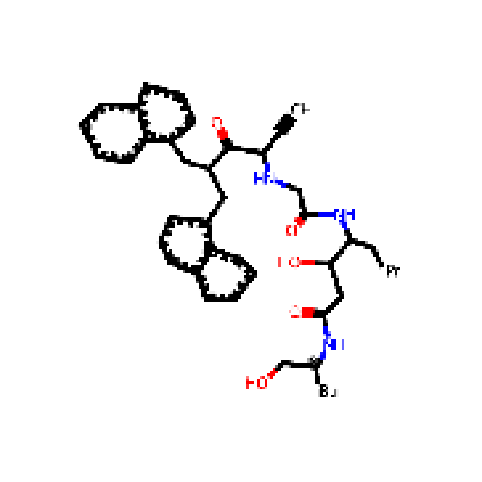 C#CC(NCC(=O)NC(CC(C)C)C(O)CC(=O)N[C@H](CO)C(C)CC)C(=O)C(Cc1cccc2ccccc12)Cc1cccc2ccccc12